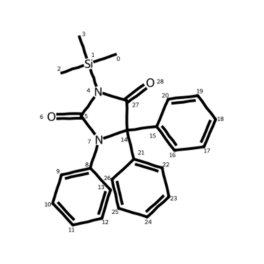 C[Si](C)(C)N1C(=O)N(c2ccccc2)C(c2ccccc2)(c2ccccc2)C1=O